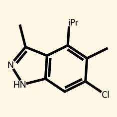 Cc1c(Cl)cc2[nH]nc(C)c2c1C(C)C